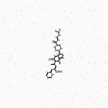 C=C(/C=C(\C=C1\C=CC=CC1)OC)c1c(Cl)cc2c(N3CCN(C(=O)/C=C/CN(C)C)CC3)snc2c1F